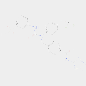 CS(=O)(=O)c1cccc(NC(=O)N(Cc2ccc(C(=O)Nc3nn[nH]n3)cc2)c2ccc(OC(F)(F)F)cc2)c1